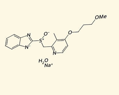 COCCCOc1ccnc(C[S+]([O-])c2nc3ccccc3[n-]2)c1C.O.[Na+]